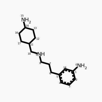 Nc1cccc(CCCNCC2CCC(N)CC2)c1